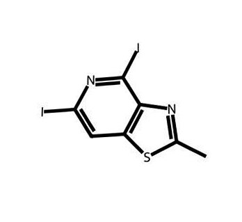 Cc1nc2c(I)nc(I)cc2s1